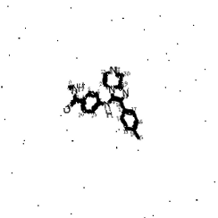 CNC(=O)c1ccc(Nc2c(-c3ccc(C)cc3)nc3cnccn23)cc1